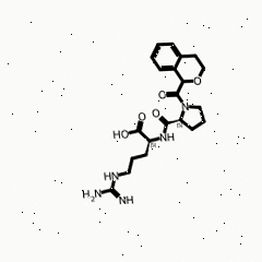 N=C(N)NCCC[C@H](NC(=O)[C@@H]1CCCN1C(=O)C1OCCc2ccccc21)C(=O)O